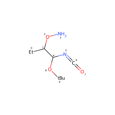 CCC(ON)C(N=C=O)OC(C)(C)C